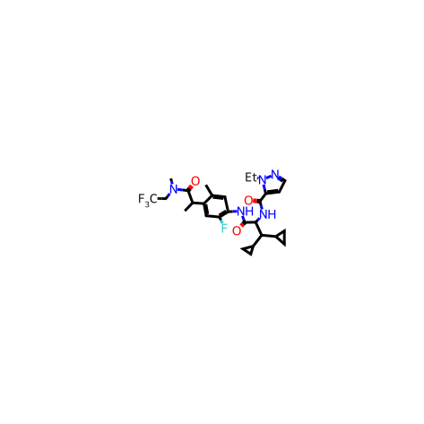 CCn1nccc1C(=O)NC(C(=O)Nc1cc(C)c(C(C)C(=O)N(C)CC(F)(F)F)cc1F)C(C1CC1)C1CC1